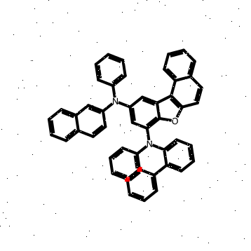 c1ccc(-c2ccccc2N(c2ccccc2)c2cc(N(c3ccccc3)c3ccc4ccccc4c3)cc3c2oc2ccc4ccccc4c23)cc1